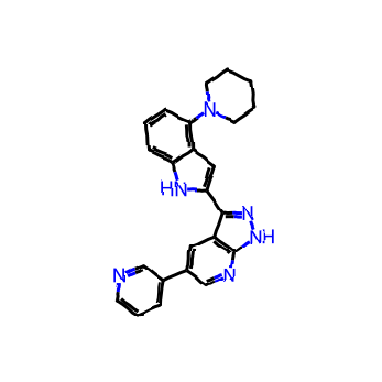 c1cncc(-c2cnc3[nH]nc(-c4cc5c(N6CCCCC6)cccc5[nH]4)c3c2)c1